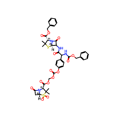 CC1(C)S[C@@H]2C(NC(=O)C(NC(=O)OCc3ccccc3)c3ccc(OC(=O)OCOC(=O)[C@@H]4N5C(=O)C[C@H]5S(=O)(=O)C4(C)C)cc3)C(=O)N2[C@H]1C(=O)OCc1ccccc1